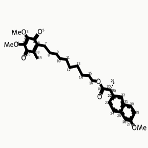 COC1=C(OC)C(=O)C(CCCCCCCCCCOC(=O)[C@H](C)c2ccc3cc(OC)ccc3c2)=C(C)C1=O